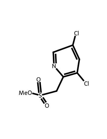 COS(=O)(=O)Cc1ncc(Cl)cc1Cl